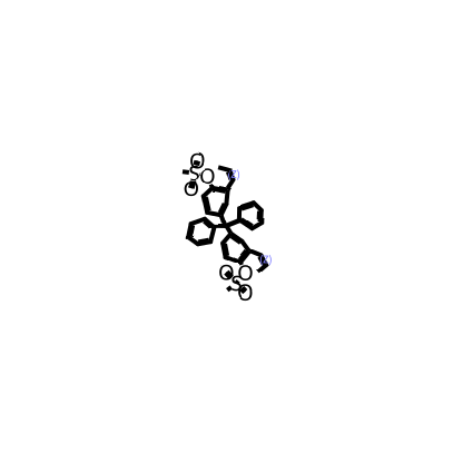 C/C=C\c1cc(C(c2ccccc2)(c2ccccc2)c2ccc(OS(C)(=O)=O)c(/C=C\C)c2)ccc1OS(C)(=O)=O